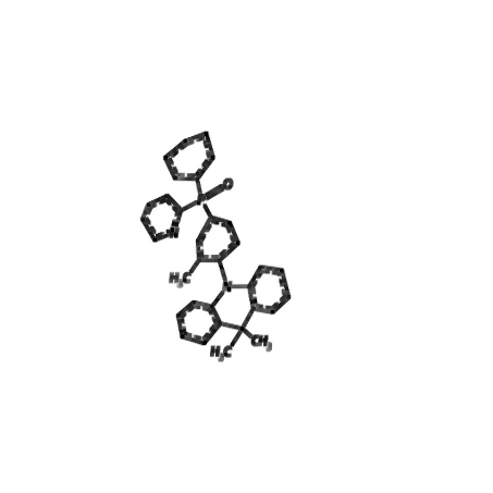 Cc1cc(P(=O)(c2ccccc2)c2ccccn2)ccc1N1c2ccccc2C(C)(C)c2ccccc21